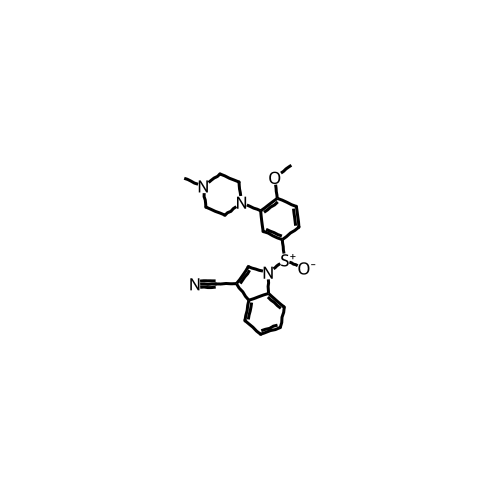 COc1ccc([S+]([O-])n2cc(C#N)c3ccccc32)cc1N1CCN(C)CC1